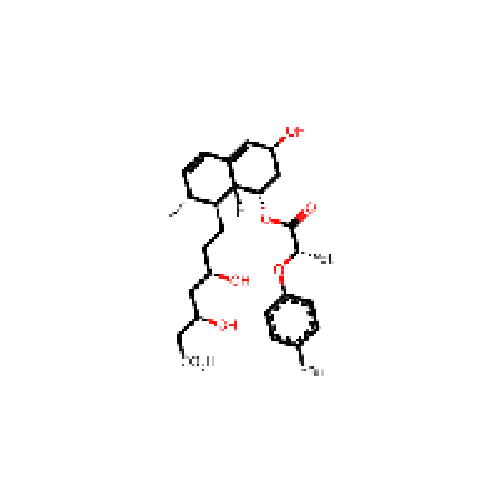 CC[C@H](Oc1ccc(C(C)(C)C)cc1)C(=O)O[C@H]1C[C@H](O)C=C2C=C[C@@H](C)[C@H](CC[C@@H](O)C[C@@H](O)CC(=O)O)[C@H]21